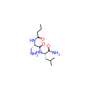 CCCC(=O)N[C@@H](CN)C(=O)N[C@@H](CC(C)C)C(N)=O